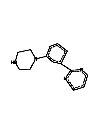 c1cnc(-c2cccc(N3CCNCC3)c2)nc1